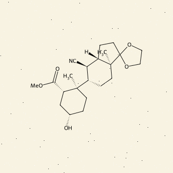 COC(=O)[C@H]1C[C@@H](O)CC[C@]1(C)[C@H]1CC[C@@]2(C)[C@@H](CCC23OCCO3)[C@@H]1C#N